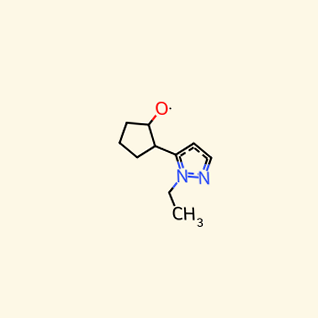 CCn1nccc1C1CCCC1[O]